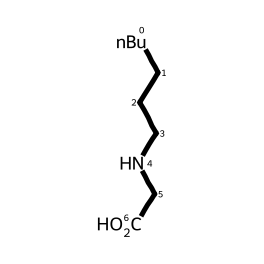 CCCCCCCNCC(=O)O